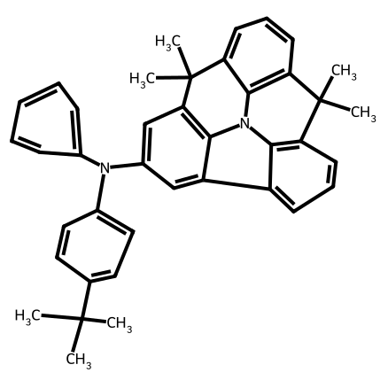 CC(C)(C)c1ccc(N(c2ccccc2)c2cc3c4c(c2)c2cccc5c2n4-c2c(cccc2C3(C)C)C5(C)C)cc1